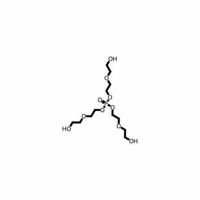 O=P(OCCOCCO)(OCCOCCO)OCCOCCO